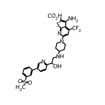 CS(=O)(=O)c1cccc(-c2ccc(C(O)CNC3CCN(c4cc(C(F)(F)F)c5c(N)c(C(=O)O)sc5n4)CC3)nc2)c1